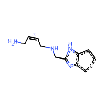 NC/C=C\CNCc1nc2ccccc2[nH]1